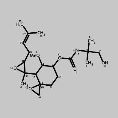 COC1C(OC(=O)NC(C)(C)CO)CC[C@]2(CO2)C1C1(C)OC1CC=C(C)C